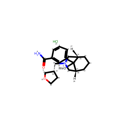 COC1(c2cccc(C(N)=O)c2)[C@@H]2CCC[C@H]1CN(C[C@@H]1CCOC1)C2.Cl